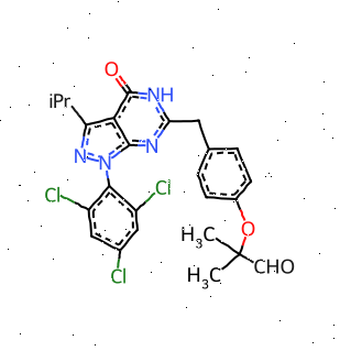 CC(C)c1nn(-c2c(Cl)cc(Cl)cc2Cl)c2nc(Cc3ccc(OC(C)(C)C=O)cc3)[nH]c(=O)c12